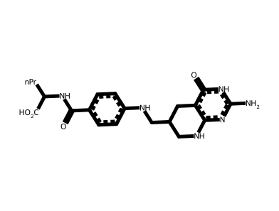 CCCC(NC(=O)c1ccc(NCC2CNc3nc(N)[nH]c(=O)c3C2)cc1)C(=O)O